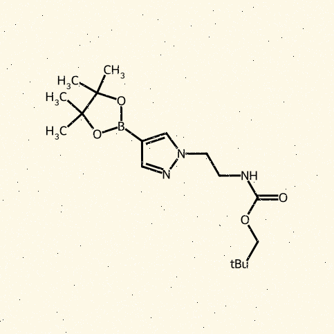 CC(C)(C)COC(=O)NCCn1cc(B2OC(C)(C)C(C)(C)O2)cn1